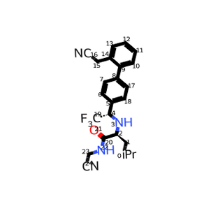 CC(C)C[C@H](N[C@@H](c1ccc(-c2ccccc2CC#N)cc1)C(F)(F)F)C(=O)NCC#N